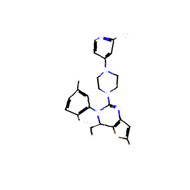 COc1cc(N2CCN(C3=Nc4cc(C)sc4C(CC(=O)O)N3c3cc(C(F)(F)F)ccc3OC)CC2)ccn1